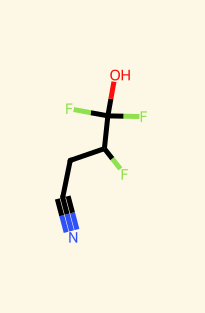 N#CCC(F)C(O)(F)F